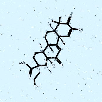 COC(=O)[C@@]1(CCC(C)(C)C)CC[C@]2(C)[C@H](C(=O)C=C3[C@@]4(C)C=C(C#N)C(=O)C(C)(C)[C@@H]4CC[C@]32C)[C@@H]1C